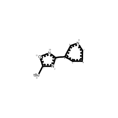 CC(C)(C)c1nc(-c2cccnc2)no1